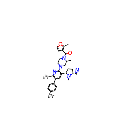 C#N.Cc1occc1C(=O)N1CCN(c2nc(C(C)C)c(-c3ccc(C(C)C)cc3)cc2[C@H]2CCCN2C)CC1C